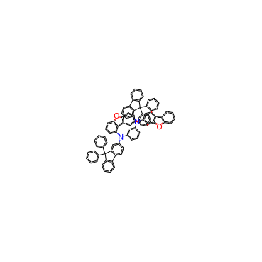 c1ccc(C2(c3ccccc3)c3ccccc3-c3ccc(N(c4cccc(N(c5ccc6c(c5)oc5ccccc56)c5cccc6c5C(c5ccccc5)(c5ccccc5)c5ccccc5-6)c4)c4cccc5oc6ccccc6c45)cc32)cc1